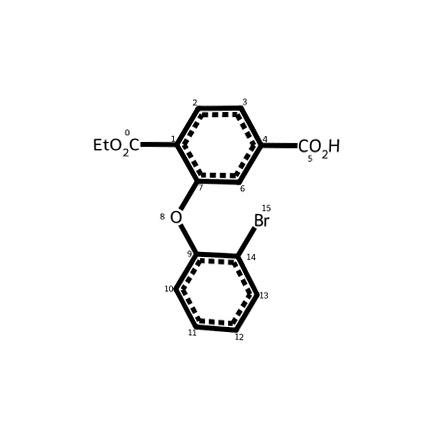 CCOC(=O)c1ccc(C(=O)O)cc1Oc1ccccc1Br